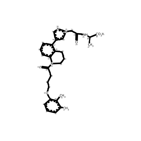 Cc1cccc(OCCCC(=O)N2CCCc3c(-c4cnn(CC(=O)NC(C)C(=O)O)c4)cccc32)c1C